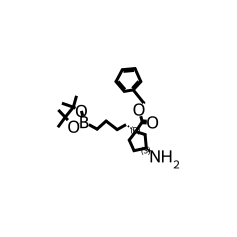 CC1(C)OB(CCCC[C@@]2(C(=O)OCc3ccccc3)CC[C@H](N)C2)OC1(C)C